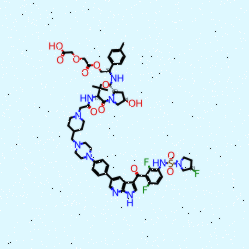 Cc1ccc([C@H](COC(=O)COCC(=O)O)NC(=O)[C@@H]2C[C@@H](O)CN2C(=O)[C@@H](NC(=O)CN2CCC(CN3CCN(c4ccc(-c5cnc6[nH]cc(C(=O)c7c(F)ccc(NS(=O)(=O)N8CC[C@@H](F)C8)c7F)c6c5)cc4)CC3)CC2)C(C)(C)C)cc1